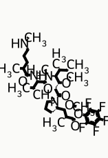 CC[C@H](C)[C@@H]([C@@H](CC(=O)N1CCC[C@H]1[C@H](OC)[C@@H](C)C(=O)Oc1c(F)c(F)c(F)c(F)c1F)OC)N(C)C(=O)[C@@H](NC(=O)C(C)CCCNC)C(C)C